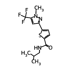 CC(C)CNC(=O)c1ccc(-c2cc(C(F)(F)F)n(C)n2)s1